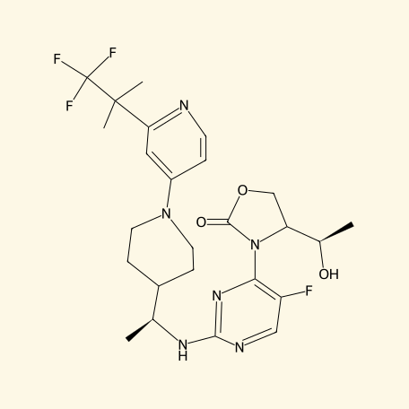 C[C@H](Nc1ncc(F)c(N2C(=O)OCC2[C@@H](C)O)n1)C1CCN(c2ccnc(C(C)(C)C(F)(F)F)c2)CC1